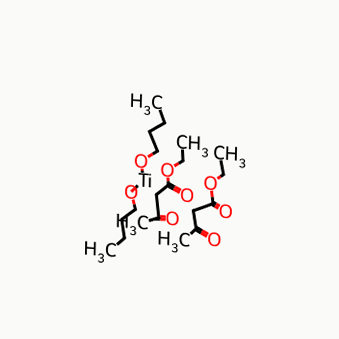 CCCC[O][Ti][O]CCCC.CCOC(=O)CC(C)=O.CCOC(=O)CC(C)=O